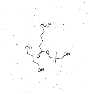 CC(C)(CO)COC(=O)CCCCC(=O)O.OCCCCO